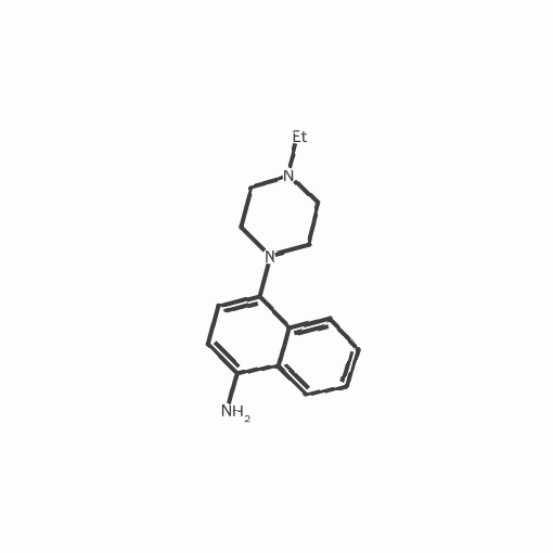 CCN1CCN(c2ccc(N)c3ccccc23)CC1